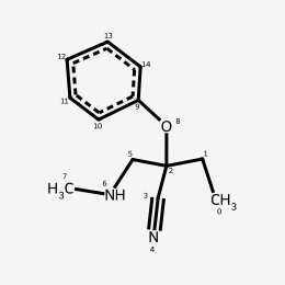 CCC(C#N)(CNC)Oc1ccccc1